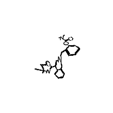 CN(C)C(=O)Oc1ccccc1CN1C=C(C2=NC(C)(C)CO2)c2ccccc2C1